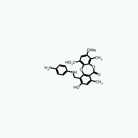 COc1cc(C(=O)O)c2c(c1C)OC(=O)c1c(C)cc(O)c(CNc3ccc(N)cc3)c1O2